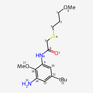 COCCCSCC(=O)Nc1cc(C(C)(C)C)cc(N)c1OC